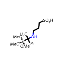 CO[Si](OC)(OC)C(C)(NCCCS(=O)(=O)O)C(C)C